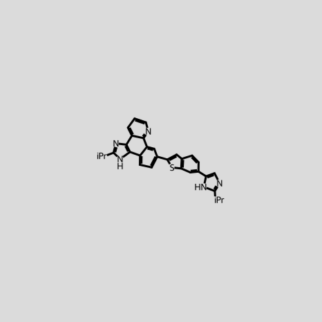 CC(C)c1ncc(-c2ccc3cc(-c4ccc5c(c4)c4ncccc4c4nc(C(C)C)[nH]c54)sc3c2)[nH]1